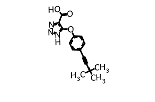 CC(C)(C)C#Cc1ccc(Oc2[nH]nnc2C(=O)O)cc1